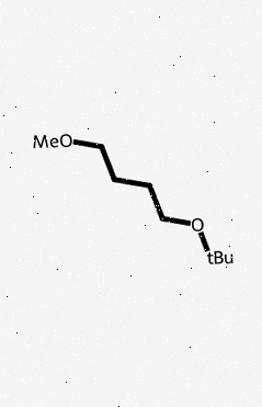 COCCCCOC(C)(C)C